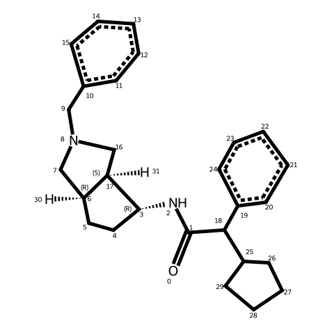 O=C(N[C@@H]1CC[C@H]2CN(Cc3ccccc3)C[C@H]21)C(c1ccccc1)C1CCCC1